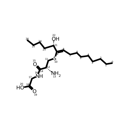 CCCCCCCCC=C(SC[C@H](N)C(=O)NCC(=O)O)[C@@H](O)CCCC